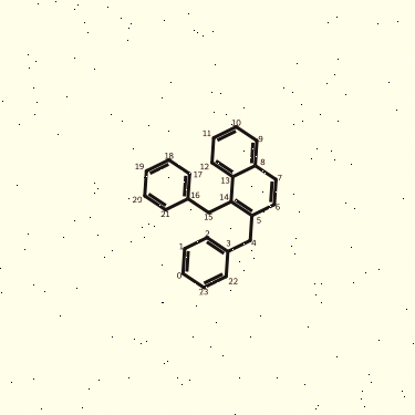 c1ccc(Cc2ccc3ccccc3c2Cc2ccccc2)cc1